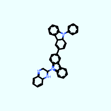 C1=CC2=NCC(n3c4ccccc4c4cc(C5=CC6c7ccccc7N(c7ccccc7)C6C=C5)ccc43)NC2C=C1